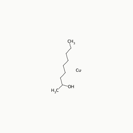 CCCCCCCC(C)O.[Cu]